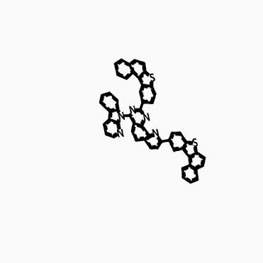 c1ccc2c(c1)ccc1sc3ccc(-c4ccc5ccc6c(-n7c8ccccc8c8cccnc87)nc(-c7ccc8sc9ccc%10ccccc%10c9c8c7)nc6c5n4)cc3c12